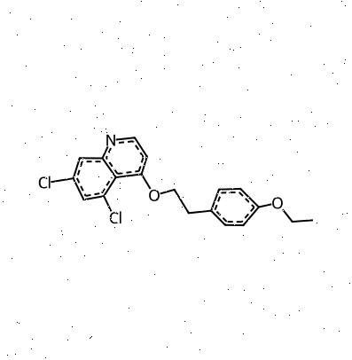 CCOc1ccc(CCOc2ccnc3cc(Cl)cc(Cl)c23)cc1